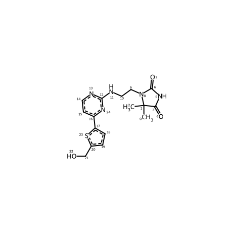 CC1(C)C(=O)NC(=O)N1CCNc1nccc(-c2ccc(CO)s2)n1